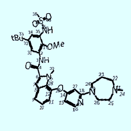 COc1c(NC(=O)c2cc3cccc(Oc4ccnc(N5CCCN(C)CC5)c4)c3n2C)cc(C(C)(C)C)cc1NS(C)(=O)=O